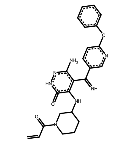 C=CC(=O)N1CCCC(Nc2c(C(=N)c3ccc(Oc4ccccc4)nc3)c(N)n[nH]c2=O)C1